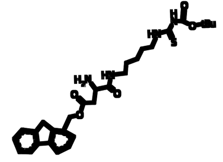 CC(C)(C)OC(=O)NC(=S)NCCCCCNC(=O)C(N)CC(=O)OCc1cccc2c1Cc1ccccc1-2